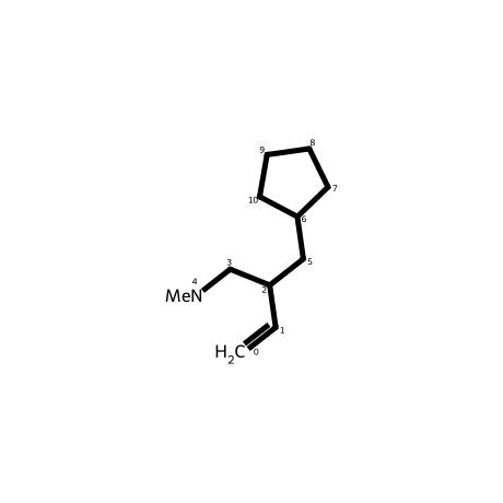 C=CC(CNC)CC1CCCC1